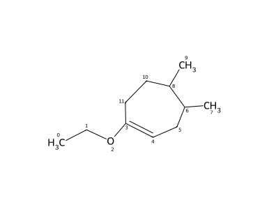 CCOC1=CCC(C)C(C)CC1